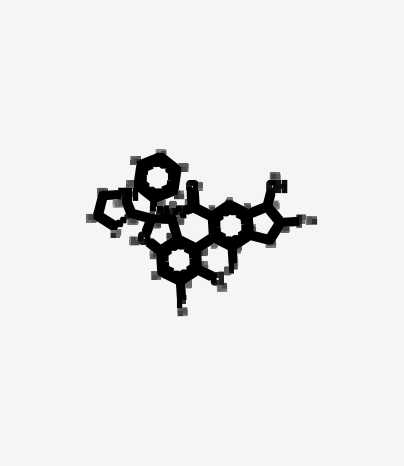 CNC(=O)c1cc2c(c(F)c1-c1c(Cl)c(F)cc3c1C[C@](c1ccccc1)([C@@H]1CCCN1)O3)CC(F)C2O